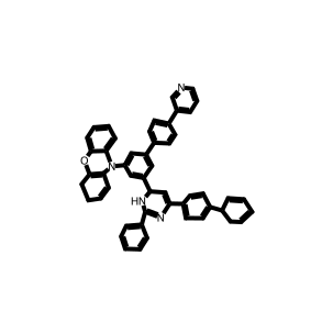 C1=CCC(c2ccc(C3=CC(c4cc(-c5ccc(-c6cccnc6)cc5)cc(N5C6=C(CCC=C6)Oc6ccccc65)c4)NC(c4ccccc4)=N3)cc2)C=C1